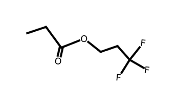 CCC(=O)OCCC(F)(F)F